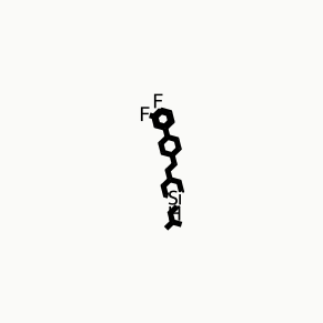 CC(C)CC[SiH]1CCC(CCC2CCC(c3ccc(F)c(F)c3)CC2)CC1